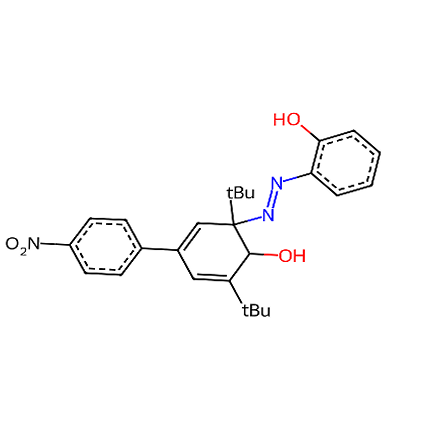 CC(C)(C)C1=CC(c2ccc([N+](=O)[O-])cc2)=CC(N=Nc2ccccc2O)(C(C)(C)C)C1O